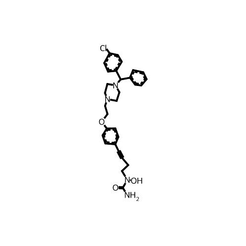 NC(=O)N(O)CCC#Cc1ccc(OCCN2CCN(C(c3ccccc3)c3ccc(Cl)cc3)CC2)cc1